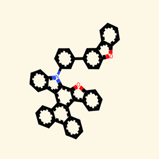 c1cc(-c2ccc3oc4ccccc4c3c2)cc(-n2c3ccccc3c3c4c5ccccc5c5ccccc5c4c4c5ccccc5oc4c32)c1